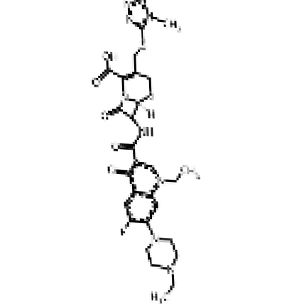 CCN1CCN(c2cc3c(cc2F)c(=O)c(C(=O)NC2C(=O)N4C(C(=O)O)=C(CSc5nnnn5C)CS[C@@H]24)cn3CC)CC1